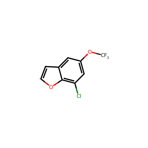 FC(F)(F)Oc1cc(Cl)c2o[c]cc2c1